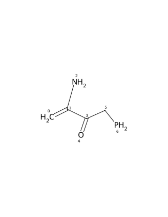 C=C(N)C(=O)CP